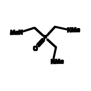 CNCP(=O)(CNC)CNC